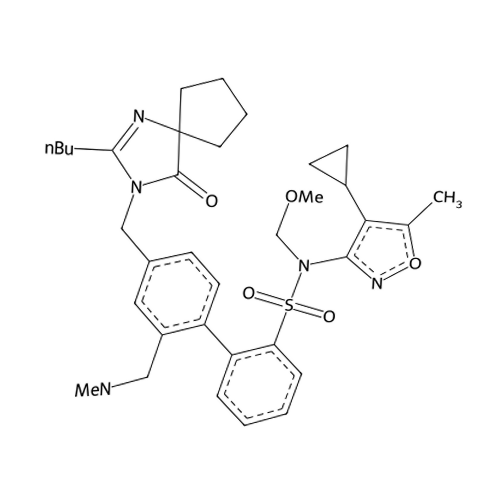 CCCCC1=NC2(CCCC2)C(=O)N1Cc1ccc(-c2ccccc2S(=O)(=O)N(COC)c2noc(C)c2C2CC2)c(CNC)c1